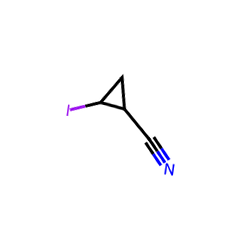 N#CC1CC1I